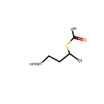 CCCCCCCCCC(CC)SC(=O)CCC